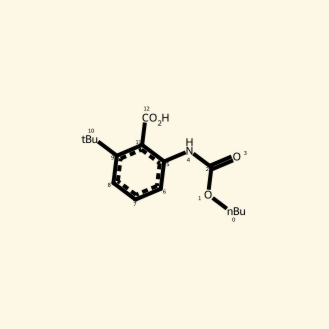 CCCCOC(=O)Nc1cccc(C(C)(C)C)c1C(=O)O